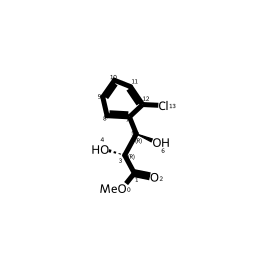 COC(=O)[C@H](O)[C@H](O)c1ccccc1Cl